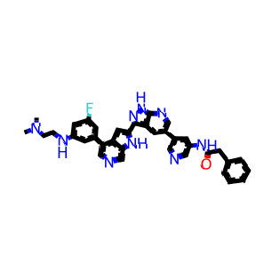 CN(C)CCNc1cc(F)cc(-c2cncc3[nH]c(-c4n[nH]c5ncc(-c6cncc(NC(=O)Cc7ccccc7)c6)cc45)cc23)c1